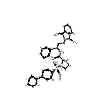 O=C(NC(CCN1C(=O)c2ccccc2C1=O)c1ccccc1)C1SCCN1S(=O)(=O)c1ccc(-c2ccccc2)cc1